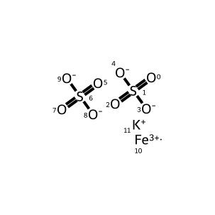 O=S(=O)([O-])[O-].O=S(=O)([O-])[O-].[Fe+3].[K+]